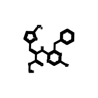 CC(C)(C)OC(=O)/C(=C/c1ccc(C(F)(F)F)o1)Nc1ncc(Br)nc1Cc1ccccc1